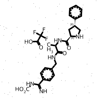 CC(NC(=O)[C@H]1C[C@H](c2ccccc2)CN1)C(=O)NCc1ccc(C(=N)NC(=O)O)cc1.O=C(O)C(F)(F)F